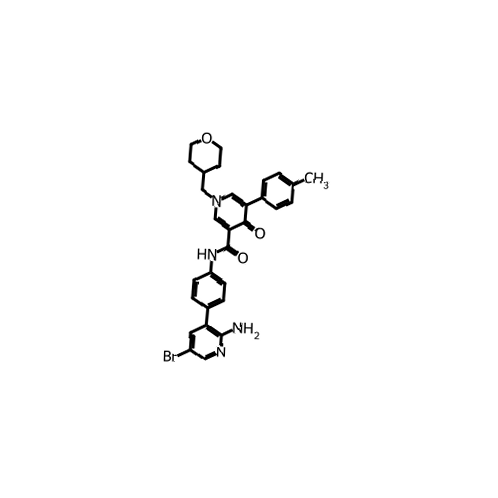 Cc1ccc(-c2cn(CC3CCOCC3)cc(C(=O)Nc3ccc(-c4cc(Br)cnc4N)cc3)c2=O)cc1